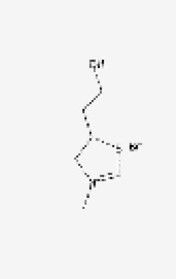 C[N+]1=CSC(CCO)C1.[Br-]